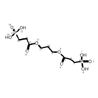 O=C(CCP(=O)(O)O)OCCCOC(=O)CCP(=O)(O)O